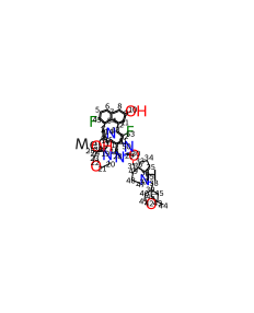 C#Cc1c(F)ccc2cc(O)cc(-c3nc(OC)c4c(N5CCOC[C@@](C)(O)C5)nc(OC[C@]56CCC[C@H]5N(CC57CCOC(C)(C5)C7)CCC6)nc4c3F)c12